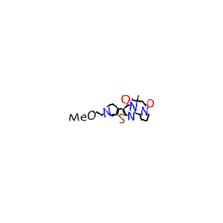 COCCN1CCc2c(sc3nc4n(c(=O)c23)C(C)(C)CC(=O)N2CCCC42)C1